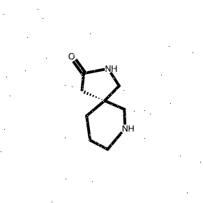 O=C1C[C@]2(CCCNC2)CN1